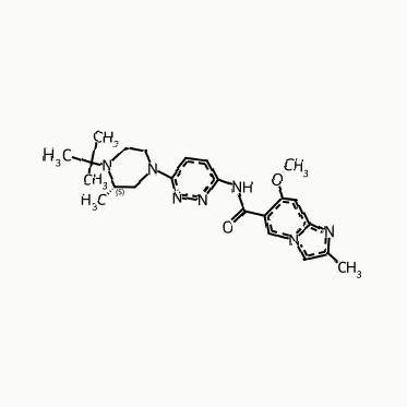 COc1cc2nc(C)cn2cc1C(=O)Nc1ccc(N2CCN(C(C)(C)C)[C@@H](C)C2)nn1